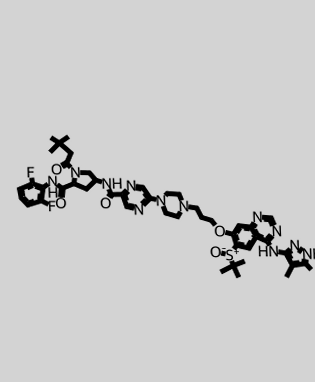 Cc1[nH]nc(Nc2ncnc3cc(OCCCN4CCN(c5cnc(C(=O)NC6CC(C(=O)Nc7c(F)cccc7F)N(C(=O)CC(C)(C)C)C6)cn5)CC4)c([S+]([O-])C(C)(C)C)cc23)c1C